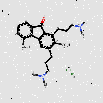 CCN(CC)CCCc1cc2c(c(CCCN(CC)CC)c1C(=O)O)C(=O)c1cccc(C(=O)O)c1-2.Cl.Cl